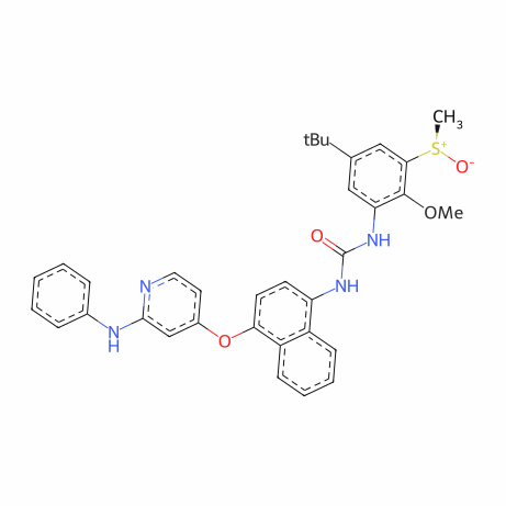 COc1c(NC(=O)Nc2ccc(Oc3ccnc(Nc4ccccc4)c3)c3ccccc23)cc(C(C)(C)C)cc1[S@@+](C)[O-]